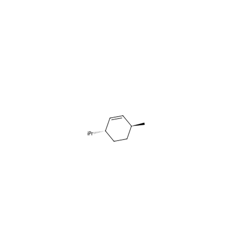 CC(C)[C@@H]1C=C[C@@H](C)CC1